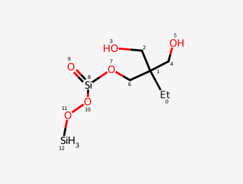 CCC(CO)(CO)CO[Si](=O)OO[SiH3]